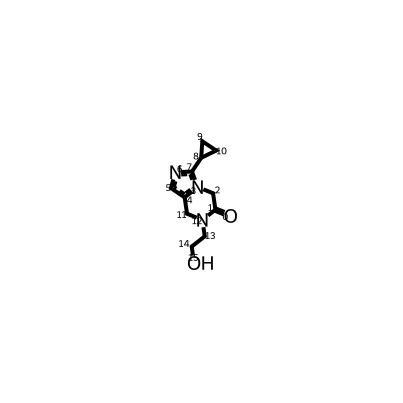 O=C1Cn2c(cnc2C2CC2)CN1CCO